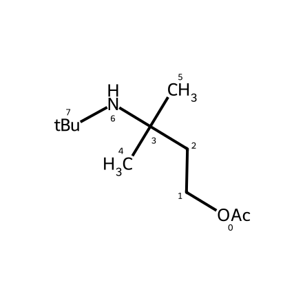 CC(=O)OCCC(C)(C)NC(C)(C)C